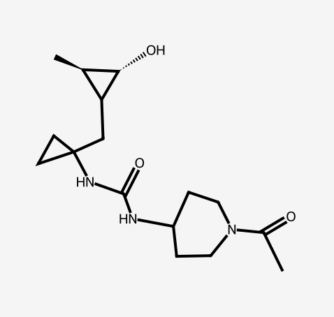 CC(=O)N1CCC(NC(=O)NC2(CC3[C@@H](C)[C@@H]3O)CC2)CC1